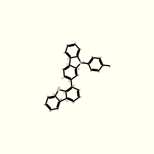 Cc1ccc(-n2c3ccccc3c3ccc(-c4cccc5c4oc4ccccc45)cc32)cc1